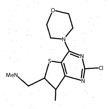 CNCC1Sc2c(nc(Cl)nc2N2CCOCC2)C1C